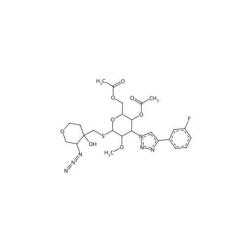 COC1C(SCC2(O)CCOCC2N=[N+]=[N-])OC(COC(C)=O)C(OC(C)=O)C1n1cc(-c2cccc(F)c2)nn1